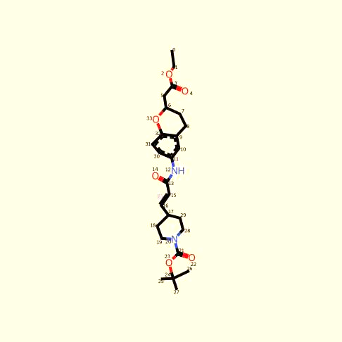 CCOC(=O)CC1CCc2cc(NC(=O)/C=C/C3CCN(C(=O)OC(C)(C)C)CC3)ccc2O1